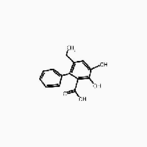 CCc1cc(O)c(O)c(C(=O)O)c1-c1ccccc1